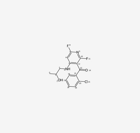 CC(O)CNc1cc(F)nc(F)c1C(=O)c1ccccc1Cl